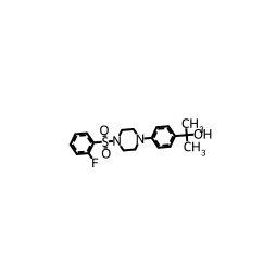 CC(C)(O)c1ccc(N2CCN(S(=O)(=O)c3ccccc3F)CC2)cc1